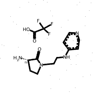 N[C@H]1CCN(CCNc2ccncc2)C1=O.O=C(O)C(F)(F)F